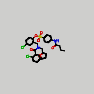 CCCC(=O)Nc1ccc(S(=O)(=O)Oc2ccc(Cl)cc2CN(Cc2ccco2)C(=O)c2ccccc2Cl)cc1